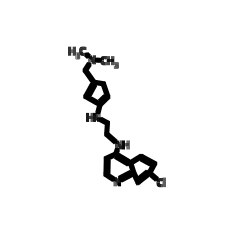 CN(C)CC1=CC(NCCNc2ccnc3cc(Cl)ccc23)=CC1